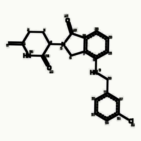 C=C1CCC(N2Cc3c(NCc4cccc(Cl)c4)cccc3C2=O)C(=O)N1